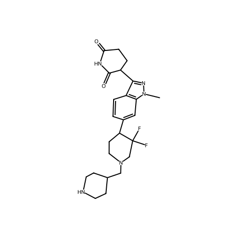 Cn1nc(C2CCC(=O)NC2=O)c2ccc(C3CCN(CC4CCNCC4)CC3(F)F)cc21